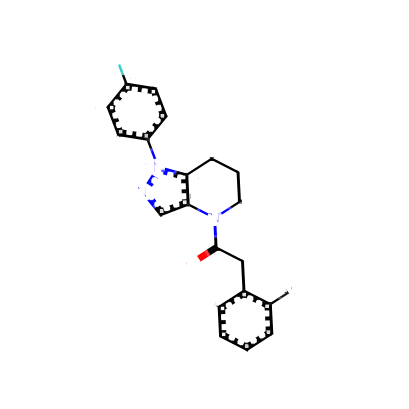 O=C(Cc1ccccc1C(F)(F)F)N1CCCc2c1cnn2-c1ccc(F)cc1